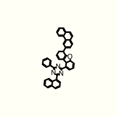 C1=CC2OC3=C(C=CCC3c3ccc4ccc5ccccc5c4c3)C2C(c2nc(-c3ccccc3)nc(-c3cccc4ccccc34)n2)=C1